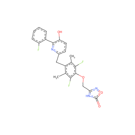 Cc1c(F)c(OCc2noc(=O)[nH]2)c(F)c(C)c1Cc1ccc(O)c(-c2ccccc2F)n1